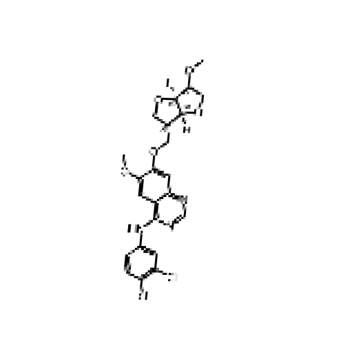 COc1cc2c(Nc3ccc(Cl)c(Cl)c3)ncnc2cc1OC[C@H]1CO[C@@H]2[C@@H]1OC[C@@H]2OC